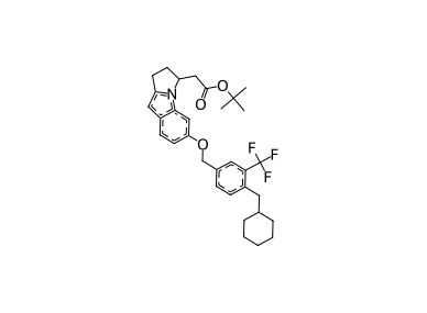 CC(C)(C)OC(=O)CC1CCc2cc3ccc(OCc4ccc(CC5CCCCC5)c(C(F)(F)F)c4)cc3n21